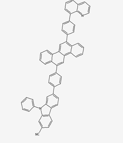 N#Cc1ccc2c3ccc(-c4ccc(-c5cc6c7ccccc7c(-c7ccc(-c8cccc9cccnc89)cc7)cc6c6ccccc56)cc4)cc3n(-c3ccccc3)c2c1